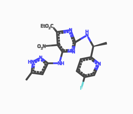 CCOC(=O)c1nc(N[C@@H](C)c2ccc(F)cn2)nc(Nc2cc(C)[nH]n2)c1[N+](=O)[O-]